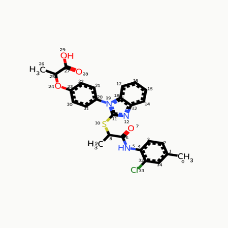 Cc1ccc(NC(=O)C(C)Sc2nc3ccccc3n2-c2ccc(OC(C)C(=O)O)cc2)c(Cl)c1